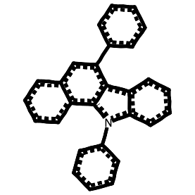 c1ccc(-c2cc3ccccc3c3c2c2ccccc2n3-c2ccccc2)cc1